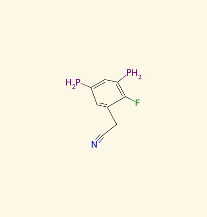 N#CCc1cc(P)cc(P)c1F